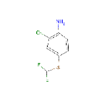 Nc1ccc(SC(F)F)cc1Cl